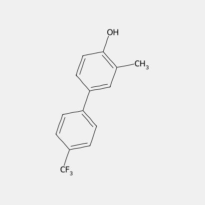 Cc1cc(-c2ccc(C(F)(F)F)cc2)ccc1O